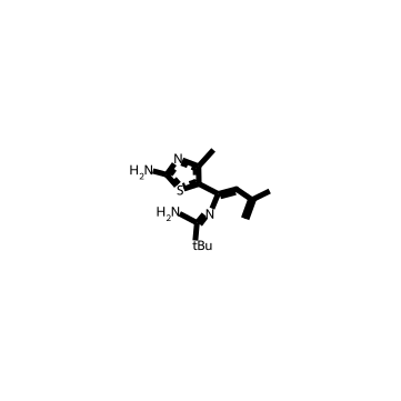 C=C(C)/C=C(\N=C(/N)C(C)(C)C)c1sc(N)nc1C